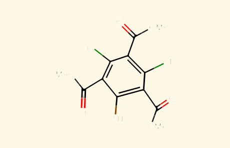 COC(=O)c1c(S)c(C(=O)OC)c(Cl)c(C(=O)OC)c1Cl